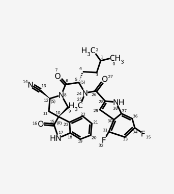 CC(C)CC[C@@H](C(=O)N1C[C@]2(C[C@H]1C#N)C(=O)Nc1ccccc12)N(C)C(=O)c1cc2c(F)cc(F)cc2[nH]1